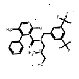 Cc1cnc(Cl)c(C(=O)N(Cc2cc(C(F)(F)F)cc(C(F)(F)F)c2)C[C@H](C)CO)c1-c1ccccc1